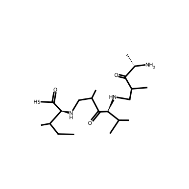 CCC(C)[C@H](NCC(C)C(=O)[C@@H](NCC(C)C(=O)[C@H](C)N)C(C)C)C(=O)S